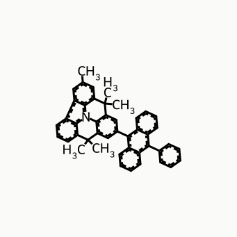 Cc1cc2c3c(c1)c1cccc4c1n3-c1c(cc(-c3c5ccccc5c(-c5ccccc5)c5ccccc35)cc1C2(C)C)C4(C)C